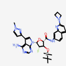 Cn1ccc(-c2cn([C@@H]3O[C@H](C(=O)Nc4ccc5ccc(N6CCC6)nc5c4)C(O[Si](C)(C)C(C)(C)C)[C@@H]3F)c3ncnc(N)c23)n1